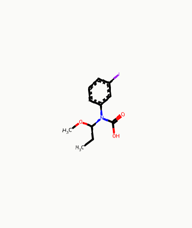 CCC(OC)N(C(=O)O)c1[c]ccc(I)c1